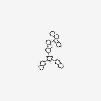 c1ccc2cc(-c3nc(-c4ccc5ccccc5c4)nc(-c4ccc5c(c4)oc4c(-n6c7ccccc7c7ccc8ccccc8c76)cccc45)n3)ccc2c1